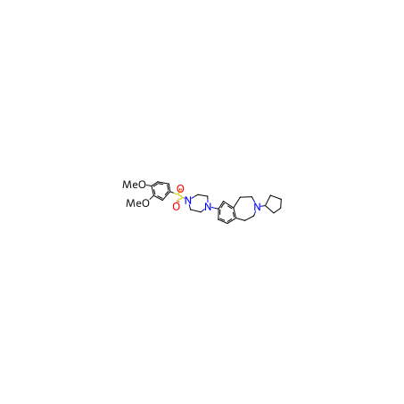 COc1ccc(S(=O)(=O)N2CCN(c3ccc4c(c3)CCN(C3CCCC3)CC4)CC2)cc1OC